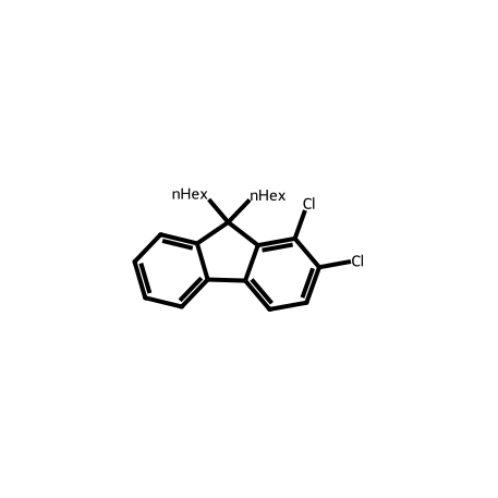 CCCCCCC1(CCCCCC)c2ccccc2-c2ccc(Cl)c(Cl)c21